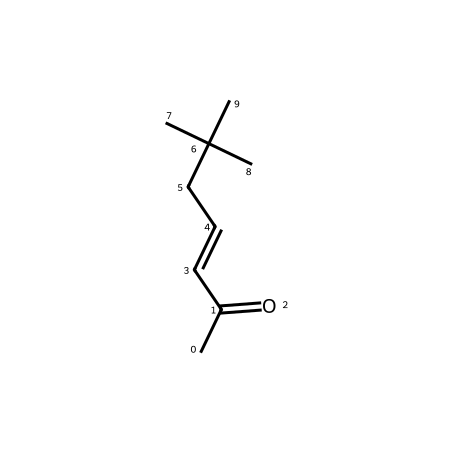 CC(=O)/C=C/CC(C)(C)C